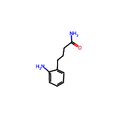 NC(=O)CCCc1ccccc1N